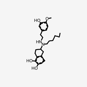 CCCCCCN(NCCc1ccc(OC)c(O)c1)C1CCc2c(ccc(O)c2O)C1